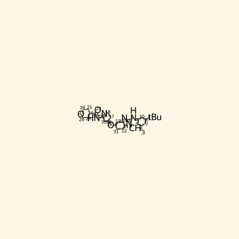 Cn1c(Nc2cccc(C(C)(C)C)c2)nc2cc(Oc3ccnc(NC(=O)C4CCOCC4)c3)ccc21